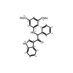 COc1cc(NC(C(=O)c2c[nH]c3ccccc23)c2ccccc2)cc(OC)c1